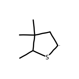 CC1S[CH]CC1(C)C